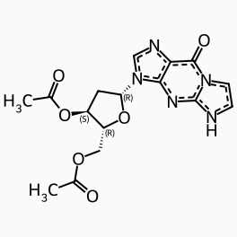 CC(=O)OC[C@H]1O[C@@H](n2cnc3c(=O)n4cc[nH]c4nc32)C[C@@H]1OC(C)=O